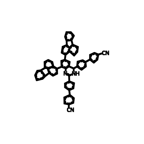 N#Cc1ccc(-c2ccc(C3=Nc4c(-c5ccc6c7c(cccc57)-c5ccccc5-6)cc(-c5ccc6c7c(cccc57)-c5ccccc5-6)cc4C(c4ccc(-c5ccc(C#N)cc5)cc4)N3)cc2)cc1